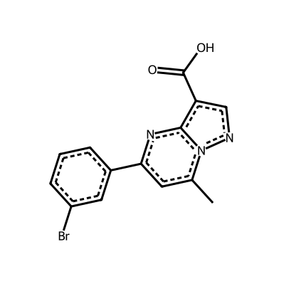 Cc1cc(-c2cccc(Br)c2)nc2c(C(=O)O)cnn12